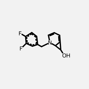 OC1C2=CC=CN(Cc3ccc(F)c(F)c3)C21